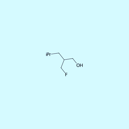 CC(C)CC(CO)CF